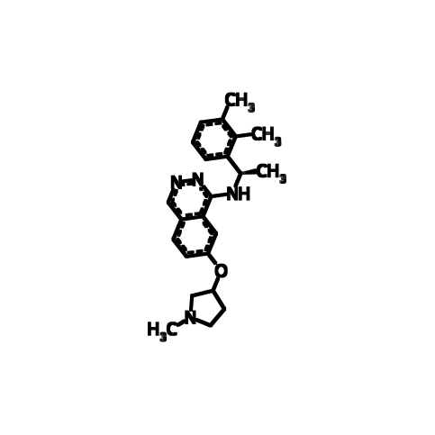 Cc1cccc([C@@H](C)Nc2nncc3ccc(OC4CCN(C)C4)cc23)c1C